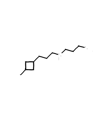 CC1CC(CCCNCCCN)C1